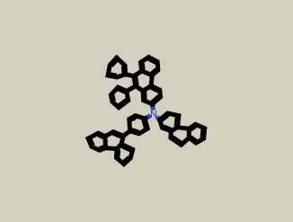 c1ccc(-c2c(-c3ccccc3)c3cc(N(c4ccc(-c5cc6ccccc6c6ccccc56)cc4)c4ccc5c(ccc6ccccc65)c4)ccc3c3ccccc23)cc1